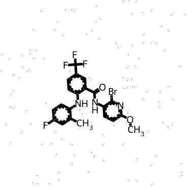 COc1ccc(NC(=O)c2cc(C(F)(F)F)ccc2Nc2ccc(F)cc2C)c(Br)n1